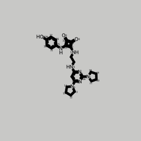 O=c1c(NCCNc2cc(N3CCCC3)nc(N3CCCC3)n2)c(Nc2ccc(O)cc2)c1=O